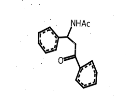 CC(=O)NC(CC(=O)c1ccccc1)c1ccccc1